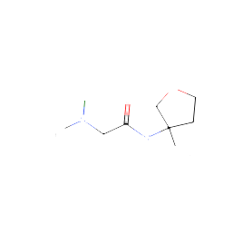 CN(Cl)CC(=O)NC1(C)CCOC1